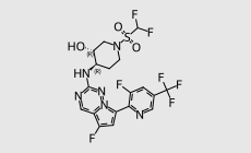 O=S(=O)(C(F)F)N1CC[C@@H](Nc2ncc3c(F)cc(-c4ncc(C(F)(F)F)cc4F)n3n2)[C@H](O)C1